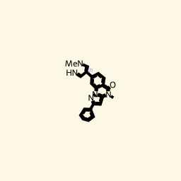 CN/C=C(\C=N)c1ccc2c(=O)n(C)c3cc(-c4ccccc4)nn3c2c1